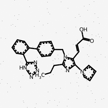 CCCc1nc(-n2cccc2)c(C=CC(=O)O)n1Cc1ccc(-c2ccccc2-c2nnn[nH]2)cc1